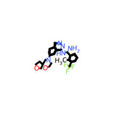 Cc1c([C@@H](N)Nc2nncc3ccc(N4CCOC5(CCOC5)C4)cc23)cccc1C(F)(F)F